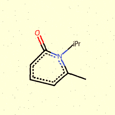 Cc1cccc(=O)n1C(C)C